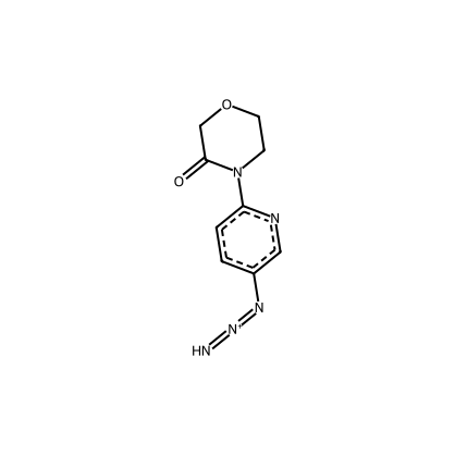 N=[N+]=Nc1ccc(N2CCOCC2=O)nc1